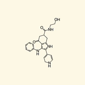 O=C1CC(C(=O)NCCO)Cc2[nH]c(C3=CCNC=C3)c(Nc3ccccc3)c21